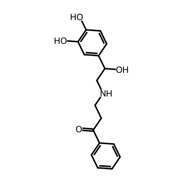 O=C(CCNCC(O)c1ccc(O)c(O)c1)c1ccccc1